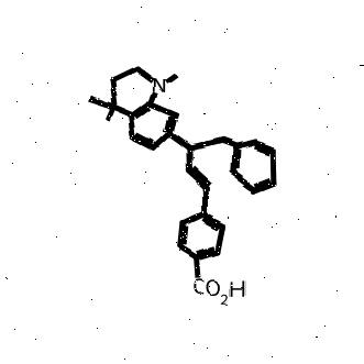 CN1CCC(C)(C)c2ccc(C(C=Cc3ccc(C(=O)O)cc3)Cc3ccccc3)cc21